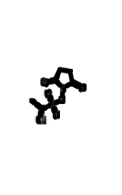 CC(Cl)S(=O)(=O)ON1C(=O)CCC1=O